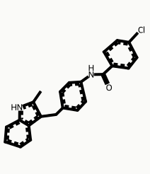 Cc1[nH]c2ccccc2c1Cc1ccc(NC(=O)c2ccc(Cl)cc2)cc1